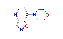 c1nc(N2CCOCC2)c2oncc2n1